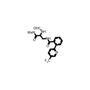 CNC(=O)C(CNC(=O)c1ccccc1-c1ccc(C(F)(F)F)cn1)NC=O